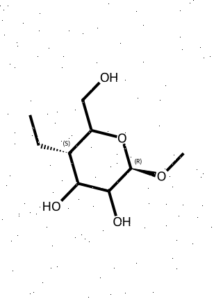 CC[C@@H]1C(CO)O[C@@H](OC)C(O)C1O